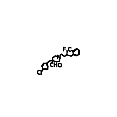 O=CC1(Cc2ccc(Cl)cc2)CCN(CCCCc2ccccc2C(F)(F)F)CC1